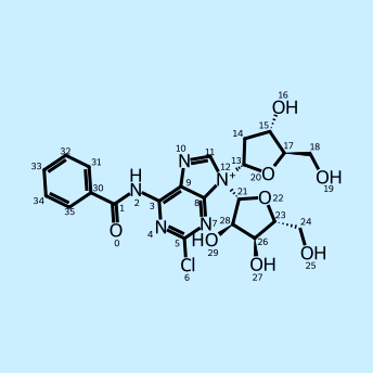 O=C(Nc1nc(Cl)nc2c1N=C[N+]2([C@@H]1C[C@H](O)[C@@H](CO)O1)[C@@H]1O[C@H](CO)[C@@H](O)[C@H]1O)c1ccccc1